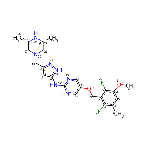 COc1cc(C)c(F)c(COc2cnc(Nc3cc(CN4C[C@@H](C)N[C@@H](C)C4)n[nH]3)nc2)c1F